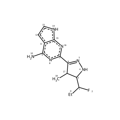 CCC(F)C1NN=C(c2nc(N)c3cc[nH]c3n2)C1C